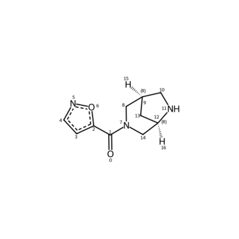 O=C(c1ccno1)N1C[C@H]2CN[C@H](C2)C1